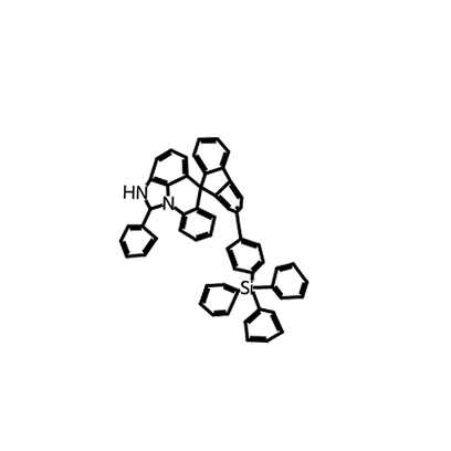 c1ccc(C2Nc3cccc4c3N2c2ccccc2C42c3ccccc3-c3ccc(-c4ccc([Si](c5ccccc5)(c5ccccc5)c5ccccc5)cc4)cc32)cc1